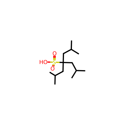 CC(C)CC(CC(C)C)(CC(C)C)S(=O)(=O)O